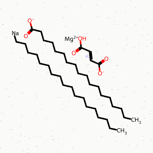 CCCCCCCCCCCCCCCCCC(=O)[O-].CCCCCCCCCCCCCCCCC[CH2][Na].O=C([O-])/C=C/C(=O)O.[Mg+2]